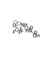 O=C(O)CCNC(=O)c1ccc(CNC2CCC3(CCCCC3)C(C(=O)c3cc(F)cc(C(F)(F)F)c3)C2)cc1